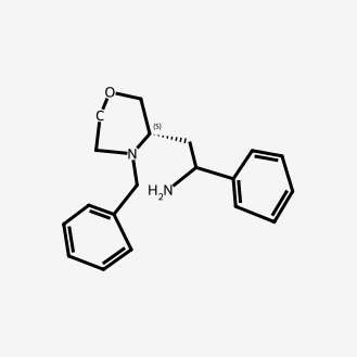 NC(C[C@H]1COCCN1Cc1ccccc1)c1ccccc1